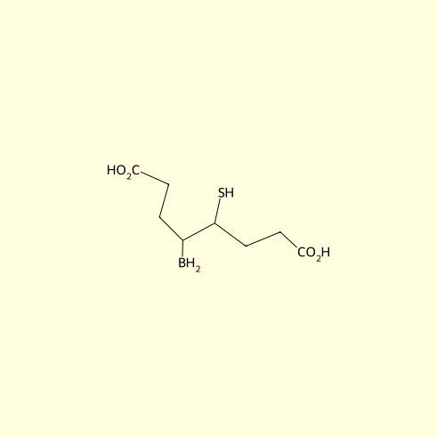 BC(CCC(=O)O)C(S)CCC(=O)O